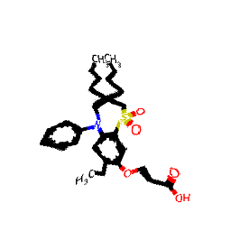 CCCCC1(CCCC)CN(c2ccccc2)c2cc(CC)c(O/C=C/C(=O)O)cc2S(=O)(=O)C1